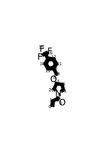 C=CC(=O)N1CC[C@H](OCc2ccc(C(F)(F)F)cc2)C1